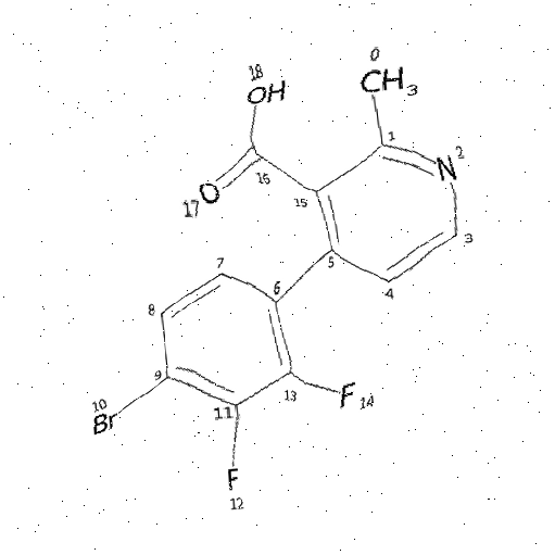 Cc1nccc(-c2ccc(Br)c(F)c2F)c1C(=O)O